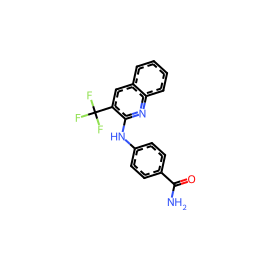 NC(=O)c1ccc(Nc2nc3ccccc3cc2C(F)(F)F)cc1